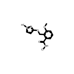 COc1cccc(C(=O)NCl)c1COc1ccn(S)n1